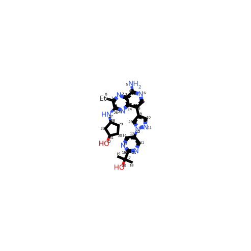 CCc1nc2c(N)ncc(-c3cnn(-c4cnc(C(C)(C)O)nc4)c3)c2nc1NC1CCC(O)C1